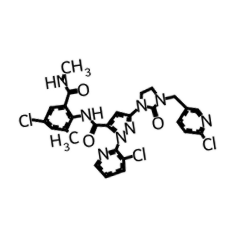 CNC(=O)c1cc(Cl)cc(C)c1NC(=O)c1cc(N2CCN(Cc3ccc(Cl)nc3)C2=O)nn1-c1ncccc1Cl